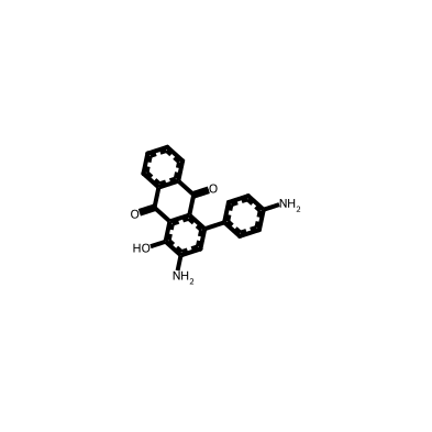 Nc1ccc(-c2cc(N)c(O)c3c2C(=O)c2ccccc2C3=O)cc1